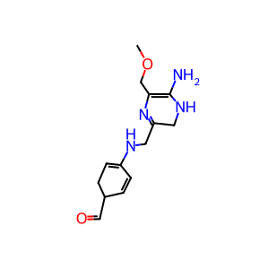 COCC1=C(N)NCC(CNC2=CCC(C=O)C=C2)=N1